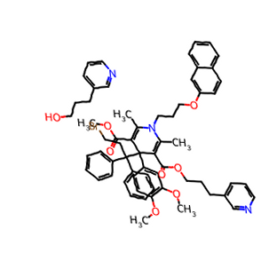 COC(=O)C1=C(C)N(CCCOc2ccc3ccccc3c2)C(C)=C(C(=O)OCCCc2cccnc2)C1(c1ccc(OC)c(OC)c1)C(CCBr)(c1ccccc1)c1ccccc1.OCCCc1cccnc1